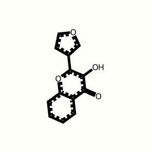 O=c1c(O)c(-c2ccoc2)oc2ccccc12